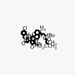 CC(C)C1=C2[C@H]3CC[C@@H]4[C@@](C)(CC[C@H](OC(=O)CC(C)(C)C(=O)O)C(C)(C)C)CCC[C@@]4(C)[C@]3(C)CC[C@@]2(c2cc(=O)n(Cc3ccc(Cl)cc3)n2C)CC1=O